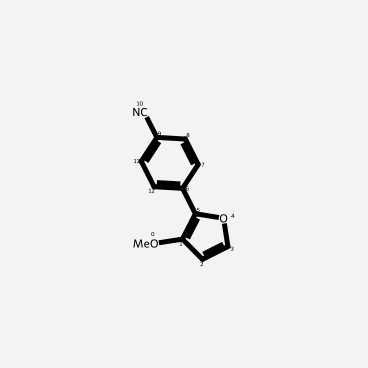 COc1ccoc1-c1ccc(C#N)cc1